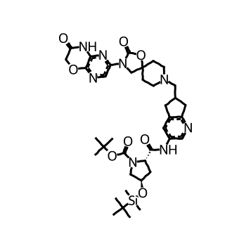 CC(C)(C)OC(=O)N1C[C@H](O[Si](C)(C)C(C)(C)C)C[C@H]1C(=O)Nc1cnc2c(c1)CC(CN1CCC3(CC1)CN(c1cnc4c(n1)NC(=O)CO4)C(=O)O3)C2